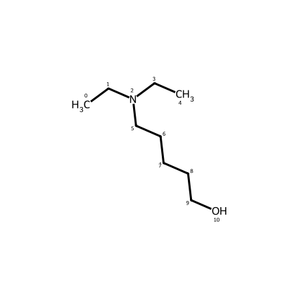 CCN(CC)CC[CH]CCO